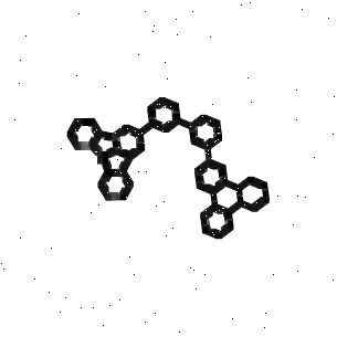 C1=CC2c3ccccc3-c3ccc(-c4cccc(-c5cccc(-c6cc7c8ccccc8n8c9ccccc9c(c6)c78)c5)c4)cc3C2C=C1